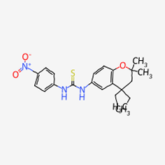 CCC1(CC)CC(C)(C)Oc2ccc(NC(=S)Nc3ccc([N+](=O)[O-])cc3)cc21